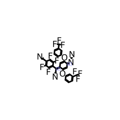 N#C/N=C1C=C(Oc2cccc(C(F)(F)F)c2)/C(=C(\C#N)c2c(F)c(F)c(C#N)c(F)c2F)C=C/1Oc1cccc(C(F)(F)F)c1